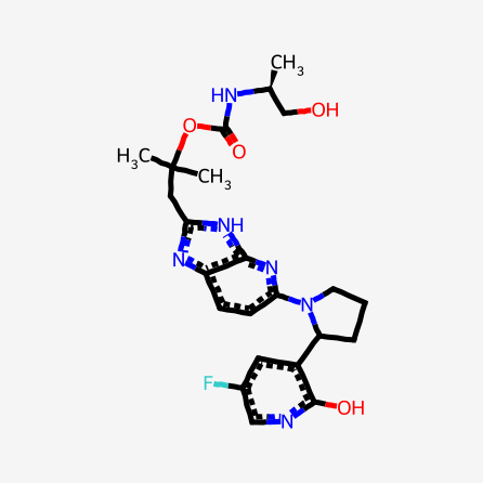 C[C@@H](CO)NC(=O)OC(C)(C)Cc1nc2ccc(N3CCCC3c3cc(F)cnc3O)nc2[nH]1